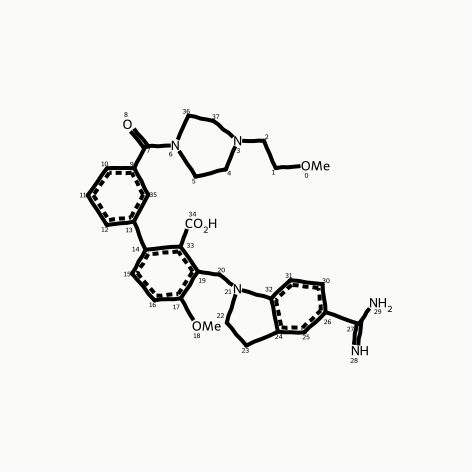 COCCN1CCN(C(=O)c2cccc(-c3ccc(OC)c(CN4CCc5cc(C(=N)N)ccc54)c3C(=O)O)c2)CC1